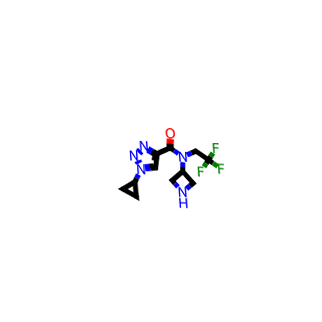 O=C(c1cn(C2CC2)nn1)N(CC(F)(F)F)C1CNC1